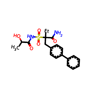 CCC(Cc1ccc(-c2ccccc2)cc1)(C(N)=O)S(=O)(=O)NC(=O)C(C)O